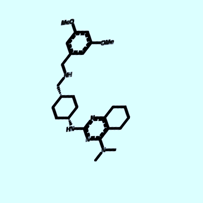 COc1cc(CNC[C@H]2CC[C@@H](Nc3nc4c(c(N(C)C)n3)CCCC4)CC2)cc(OC)c1